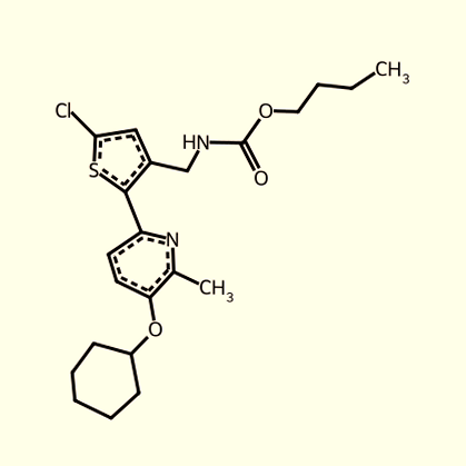 CCCCOC(=O)NCc1cc(Cl)sc1-c1ccc(OC2CCCCC2)c(C)n1